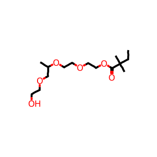 CCC(C)(C)C(=O)OCCOCCOC(C)COCCO